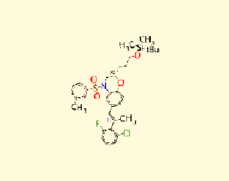 C/C(=C\c1ccc2c(c1)N(S(=O)(=O)c1cccc(C)c1)C[C@H](CCCO[Si](C)(C)C(C)(C)C)O2)c1c(F)cccc1Cl